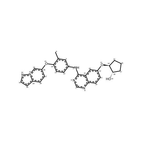 Cc1cc(Nc2ncnc3ccc(O[C@H]4CCC[C@@H]4O)cc23)ccc1Oc1ccc2ccnn2c1